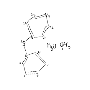 O.O.[B](c1ccccc1)c1ccncc1